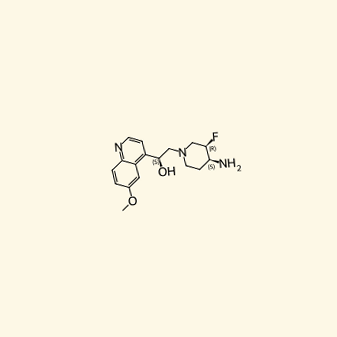 COc1ccc2nccc([C@H](O)CN3CC[C@H](N)[C@H](F)C3)c2c1